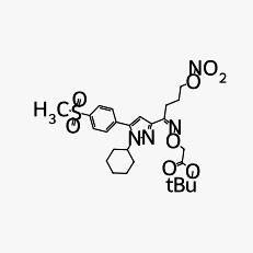 CC(C)(C)OC(=O)CO/N=C(/CCCO[N+](=O)[O-])c1cc(-c2ccc(S(C)(=O)=O)cc2)n(C2CCCCC2)n1